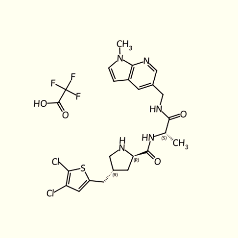 C[C@H](NC(=O)[C@H]1C[C@H](Cc2cc(Cl)c(Cl)s2)CN1)C(=O)NCc1cnc2c(ccn2C)c1.O=C(O)C(F)(F)F